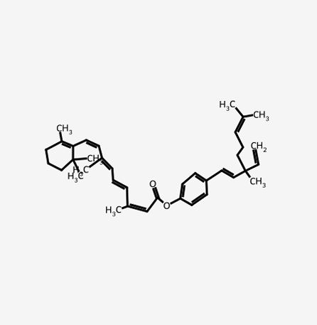 C=CC(C)(/C=C/c1ccc(OC(=O)\C=C(C)/C=C/C=C(C)/C=C\C2=C(C)CCCC2(C)C)cc1)CCC=C(C)C